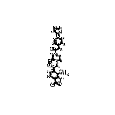 CCOC(CN1CCN(C(=O)Cc2ccc(-n3cncn3)nc2)CC1)c1ccc2c(c1C)COC2=O